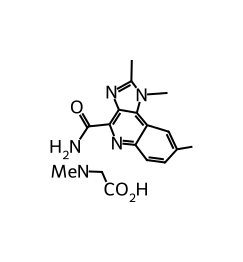 CNCC(=O)O.Cc1ccc2nc(C(N)=O)c3nc(C)n(C)c3c2c1